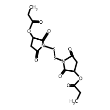 CCC(=O)OC1CC(=O)N(SSN2C(=O)CC(OC(=O)CC)C2=O)C1=O